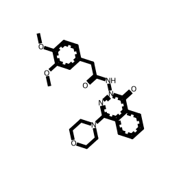 COc1ccc(CC(=O)Nn2nc(N3CCOCC3)c3ccccc3c2=O)cc1OC